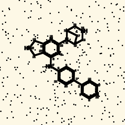 c1cc(-c2ccc(Nc3nc(N4C5CNCC4C5)nc4c3CNC4)cc2)ccn1